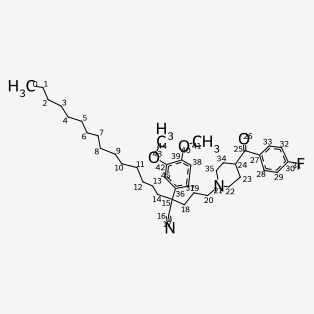 CCCCCCCCCCCCCCCC(C#N)(CCCN1CCC(C(=O)c2ccc(F)cc2)CC1)c1ccc(OC)c(OC)c1